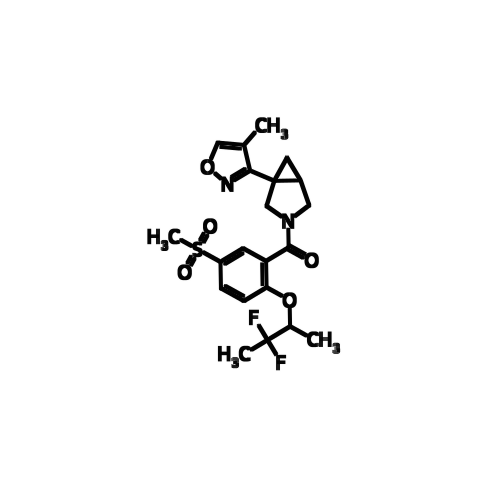 Cc1conc1C12CC1CN(C(=O)c1cc(S(C)(=O)=O)ccc1OC(C)C(C)(F)F)C2